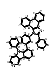 c1ccc(-c2nc3c4ccccc4c4ccccc4c3n2-c2cccc(-c3cccc4c5cnccc5n(-c5ccccc5)c34)c2)cc1